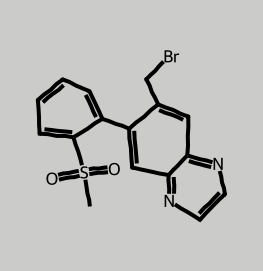 CS(=O)(=O)c1ccccc1-c1cc2nccnc2cc1CBr